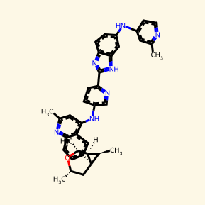 Cc1cc(Nc2ccc3nc(-c4ccc(Nc5cc(C)nc6ccc([C@]78C[C@H](C)O[C@H](C)[C@H]7[C@H]8C)cc56)cn4)[nH]c3c2)ccn1